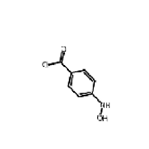 O=C(Cl)c1ccc(NO)cc1